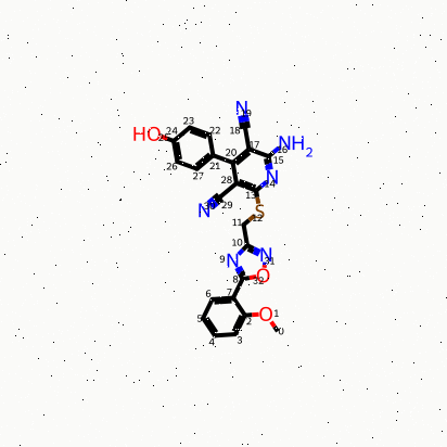 COc1ccccc1-c1nc(CSc2nc(N)c(C#N)c(-c3ccc(O)cc3)c2C#N)no1